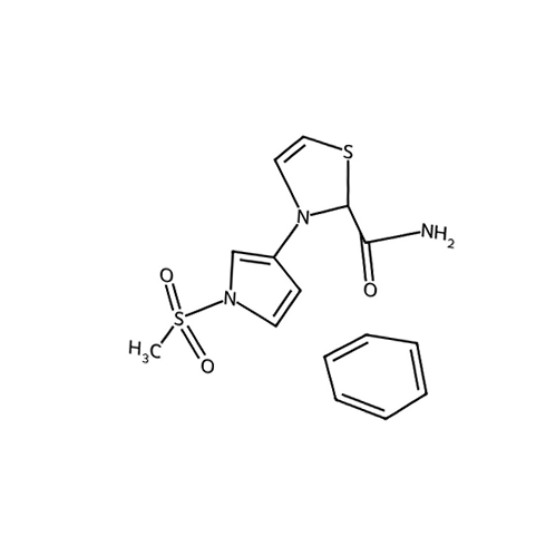 CS(=O)(=O)n1ccc(N2C=CSC2C(N)=O)c1.c1ccccc1